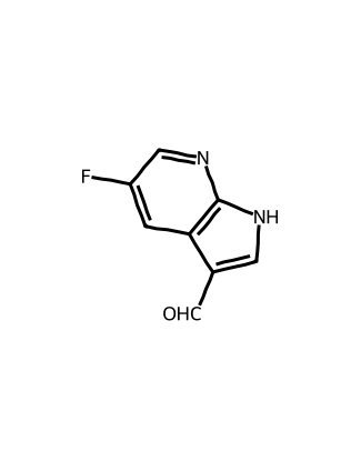 O=Cc1c[nH]c2ncc(F)cc12